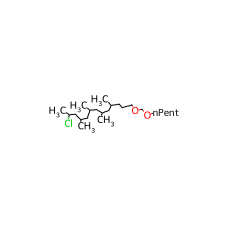 CCCCCOCOCCCC(C)CC(C)CC(C)CC(C)CC(C)Cl